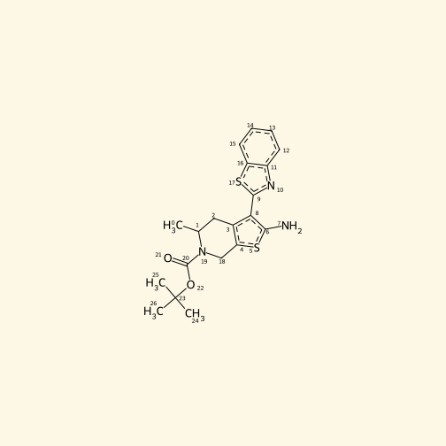 CC1Cc2c(sc(N)c2-c2nc3ccccc3s2)CN1C(=O)OC(C)(C)C